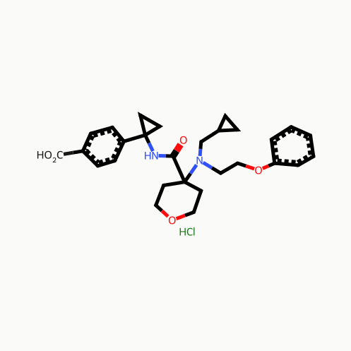 Cl.O=C(O)c1ccc(C2(NC(=O)C3(N(CCOc4ccccc4)CC4CC4)CCOCC3)CC2)cc1